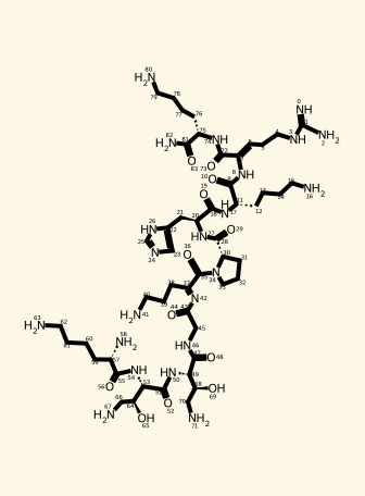 N=C(N)NCC/C=C(\NC(=O)[C@H](CCCCN)NC(=O)[C@H](Cc1cnc[nH]1)NC(=O)[C@@H]1CCCN1C(=O)/C(CCCN)=N/C(=O)CNC(=O)[C@@H](NC(=O)[C@@H](NC(=O)[C@@H](N)CCCCN)[C@@H](O)CN)[C@@H](O)CN)C(=O)N[C@@H](CCCCN)C(N)=O